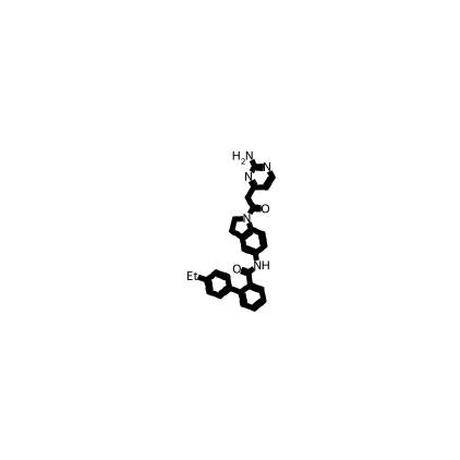 CCc1ccc(-c2ccccc2C(=O)Nc2ccc3c(c2)CCN3C(=O)Cc2ccnc(N)n2)cc1